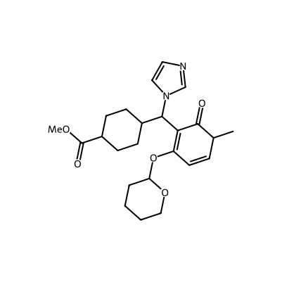 COC(=O)C1CCC(C(C2=C(OC3CCCCO3)C=CC(C)C2=O)n2ccnc2)CC1